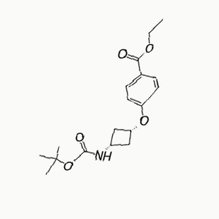 CCOC(=O)c1ccc(O[C@H]2C[C@@H](NC(=O)OC(C)(C)C)C2)cc1